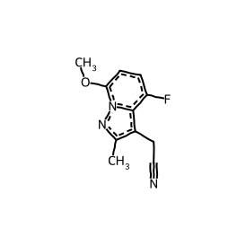 COc1ccc(F)c2c(CC#N)c(C)nn12